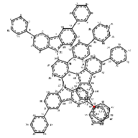 c1ccc(-c2ccc3c(c2)c2cc(-c4ccccc4)ccc2n3-c2cnc(-n3c4ccc(-c5ccccc5)cc4c4cc(-c5ccccc5)ccc43)c(-n3c4ccc(-c5ccccc5)cc4c4cc(-c5ccccc5)ccc43)c2-c2ccc(-c3ccncc3)cc2)cc1